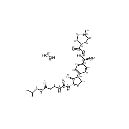 CC(C)COC(=O)CCNC(=O)N[C@H]1CCN(c2ccc(C(=N)NOC(=O)N3CCN(C)CC3)cc2)C1=O.Cl.Cl